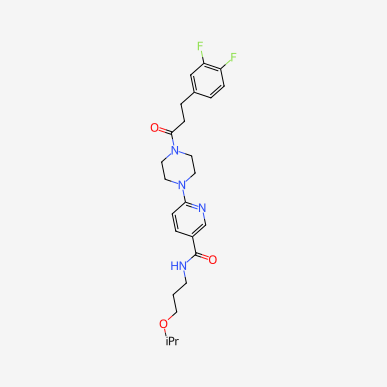 CC(C)OCCCNC(=O)c1ccc(N2CCN(C(=O)CCc3ccc(F)c(F)c3)CC2)nc1